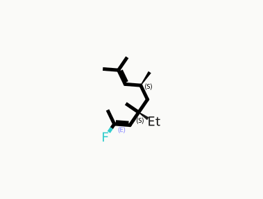 CC[C@](C)(/C=C(\C)F)C[C@H](C)C=C(C)C